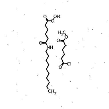 CCCCCCCCCCNC(=O)CCCCC(=O)OO.COC(=O)CCCCC(=O)Cl